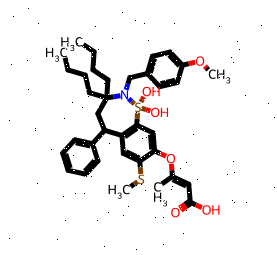 CCCCC1(CCCC)CC(c2ccccc2)c2cc(SC)c(O/C(C)=C/C(=O)O)cc2S(O)(O)N1Cc1ccc(OC)cc1